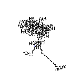 CCCCCCCCCCCCC/C=C/[C@@H](O)[C@H](CO[C@@H]1OC(CO)[C@@H](O[C@@H]2OC(CO)[C@H](O)[C@H](O[C@@H]3OC(CO)[C@@H](O)[C@H](O[C@@H]4OC(CO)[C@H](O)[C@H](O[C@H]5OC(CO)[C@H](O)[C@H](O)C5NC(C)=O)C4O[C@H]4OC(C)[C@@H](O)C(O)[C@@H]4O)C3NC(C)=O)C2O)[C@H](O)C1O)NC(=O)CCCCCCCCCCCCCCCCCCCCCCCCC